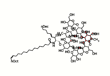 CCCCCCCC/C=C\CCCCCCCCCCCCCC(=O)N[C@@H](CO[C@@H]1OC(CO)[C@@H](O[C@@H]2OC(CO)[C@H](O)[C@H](O[C@@H]3OC(CO)[C@@H](O[C@@H]4OC(CO)[C@H](O)[C@H](O[C@@H]5OC(CO)[C@@H](O[C@@H]6OC(CO)[C@H](O)[C@H](O)C6O)[C@H](O[C@H]6OC(C)[C@@H](O)C(O)[C@@H]6O)C5NC(C)=O)C4O)[C@H](O[C@H]4OC(C)[C@@H](O)C(O)[C@@H]4O)C3NC(C)=O)C2O)[C@H](O)C1O)[C@H](O)/C=C/CCCCCCCCCCCCC